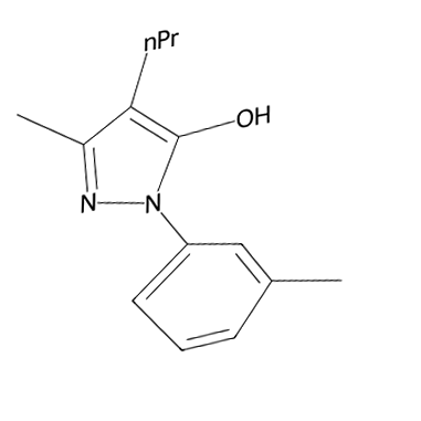 CCCc1c(C)nn(-c2cccc(C)c2)c1O